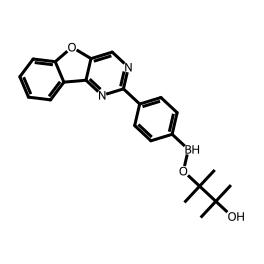 CC(C)(O)C(C)(C)OBc1ccc(-c2ncc3oc4ccccc4c3n2)cc1